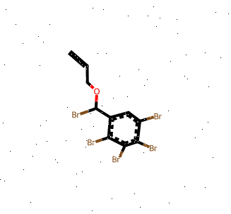 C=CCOC(Br)c1cc(Br)c(Br)c(Br)c1Br